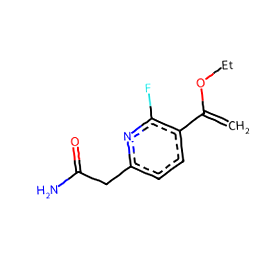 C=C(OCC)c1ccc(CC(N)=O)nc1F